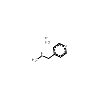 CNCc1ccncc1.Cl.Cl